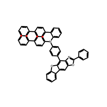 c1ccc(-c2ccc(-c3ccccc3N(c3ccc(-c4ccccc4)cc3)c3ccc(-c4c5nc(-c6ccccc6)oc5cc5c4oc4ccccc45)cc3)cc2)cc1